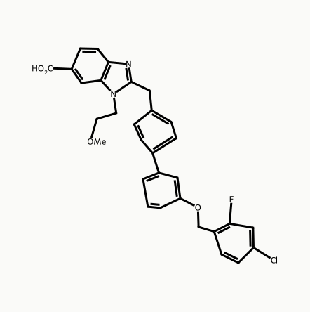 COCCn1c(Cc2ccc(-c3cccc(OCc4ccc(Cl)cc4F)c3)cc2)nc2ccc(C(=O)O)cc21